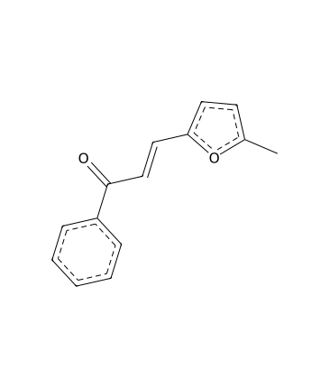 Cc1ccc(C=CC(=O)c2ccccc2)o1